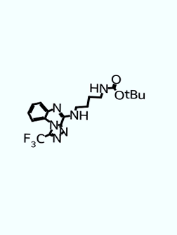 CC(C)(C)OC(=O)NCCCCNc1nc2ccccc2n2c(C(F)(F)F)nnc12